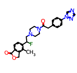 Cc1c(C(F)CN2CCN(C(=O)Cc3ccc(-n4cncn4)cc3)CC2)ccc2c1COC2=O